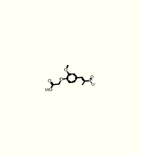 COc1cc(/C=C(\C)[N+](=O)[O-])ccc1OCC(=O)O